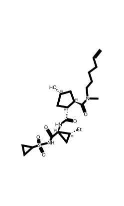 C=CCCCCN(C)C(=O)[C@@H]1C[C@@H](O)C[C@H]1C(=O)N[C@]1(C(=O)NS(=O)(=O)C2CC2)C[C@H]1CC